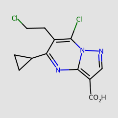 O=C(O)c1cnn2c(Cl)c(CCCl)c(C3CC3)nc12